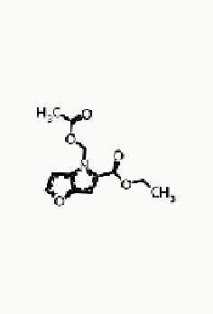 CCOC(=O)c1cc2occc2n1COC(C)=O